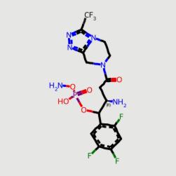 NOP(=O)(O)OC(c1cc(F)c(F)cc1F)[C@H](N)CC(=O)N1CCn2c(nnc2C(F)(F)F)C1